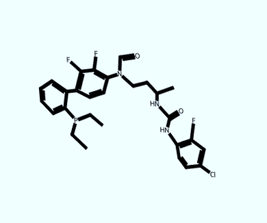 CCP(CC)c1ccccc1-c1ccc(N(C=O)CCC(C)NC(=O)Nc2ccc(Cl)cc2F)c(F)c1F